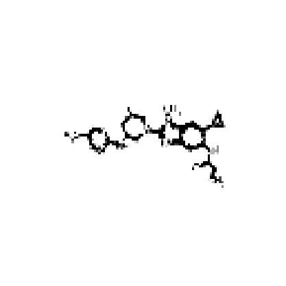 C=CC(=O)Nc1cc2nc(N3C[C@H](F)C[C@@H](Nc4ncc(C(F)(F)F)cn4)C3)n(C)c2cc1C1CC1